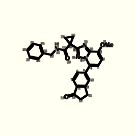 COc1ccc(-c2ccc3c(c2)CCC3=O)n2nc(C3(C(=O)NCc4ccccc4)CC3)nc12